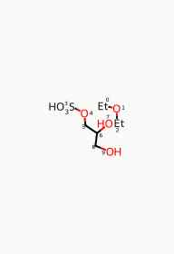 CCOCC.O=S(=O)(O)OCC(O)CO